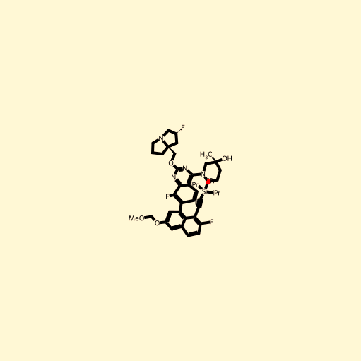 COCOc1cc(-c2c(F)cc3c(N4CCC[C@@](C)(O)C4)nc(OC[C@@]45CCCN4C[C@H](F)C5)nc3c2F)c2c(C#C[Si](C(C)C)(C(C)C)C(C)C)c(F)ccc2c1